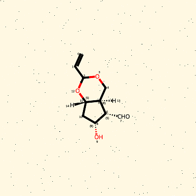 C=CC1OC[C@H]2[C@H](C=O)[C@H](O)C[C@@H]2O1